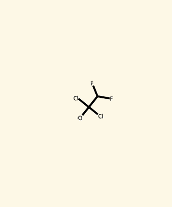 [O]C(Cl)(Cl)C(F)F